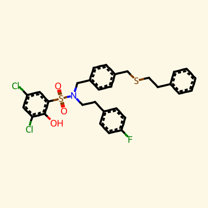 O=S(=O)(c1cc(Cl)cc(Cl)c1O)N(CCc1ccc(F)cc1)Cc1ccc(CSCCc2ccccc2)cc1